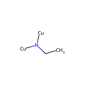 CC[N]([Cu])[Cu]